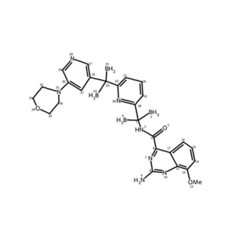 BC(B)(NC(=O)c1nc(N)nc2c(OC)cccc12)c1cccc(C(B)(B)c2cncc(N3CCOCC3)c2)n1